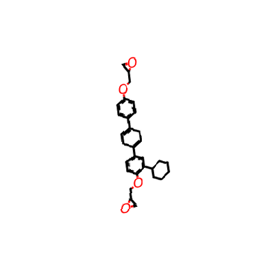 C1=C(c2ccc(OCC3CO3)cc2)CC=C(c2ccc(OCC3CO3)c(C3CCCCC3)c2)C1